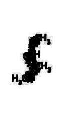 Cc1nnc(-c2ccc(C)c(-c3ccc(C(=O)NCCCN4CCN(C)CC4)cc3)c2)o1